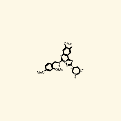 COc1ccc(CNc2nc3cc(OC)c(F)cc3c3nc([C@H]4CNC[C@@H](C)C4)nn23)c(OC)c1